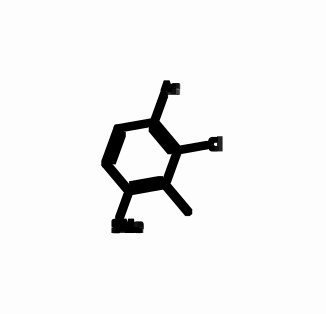 CSc1ccc(C(C)=O)c(Cl)c1C